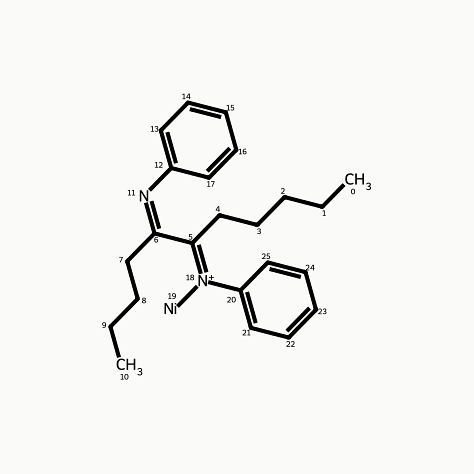 CCCCCC(C(CCCC)=Nc1ccccc1)=[N+]([Ni])c1ccccc1